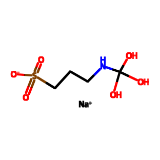 O=S(=O)([O-])CCCNC(O)(O)O.[Na+]